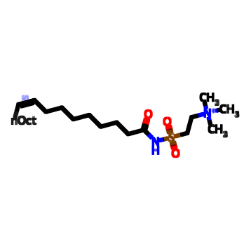 CCCCCCCC/C=C\CCCCCCCC(=O)NS(=O)(=O)CC[N+](C)(C)C